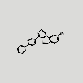 CC(C)(C)c1ccc2ccc3c(-c4ccc(-c5ccccc5)cc4)nccc3c2c1